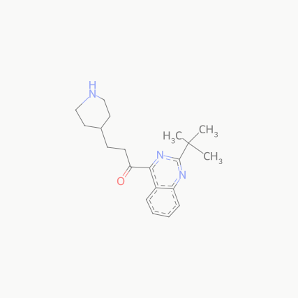 CC(C)(C)c1nc(C(=O)CCC2CCNCC2)c2ccccc2n1